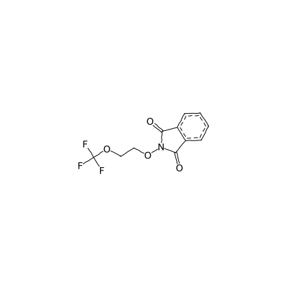 O=C1c2ccccc2C(=O)N1OCCOC(F)(F)F